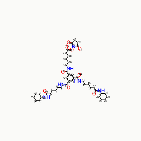 O=C(CCCCCNC(=O)c1cc(C(=O)NCCCCCC(=O)NC2CCCCC2)cc(C(=O)NCCCCCC(=O)ON2C(=O)CCC2=O)c1)NC1CCCCC1